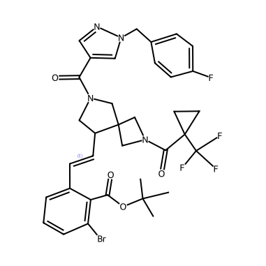 CC(C)(C)OC(=O)c1c(Br)cccc1/C=C/C1CN(C(=O)c2cnn(Cc3ccc(F)cc3)c2)CC12CN(C(=O)C1(C(F)(F)F)CC1)C2